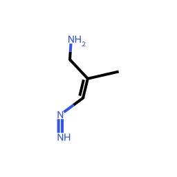 C/C(=C/N=N)CN